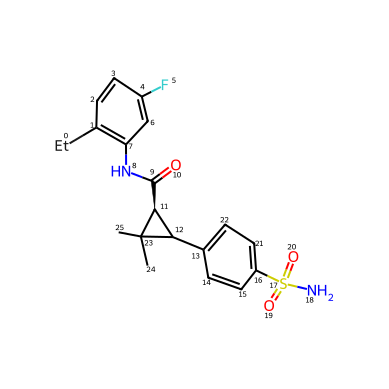 CCc1ccc(F)cc1NC(=O)[C@H]1C(c2ccc(S(N)(=O)=O)cc2)C1(C)C